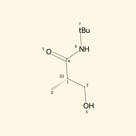 C[C@@H](CO)C(=O)NC(C)(C)C